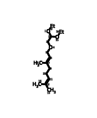 CCOC(COC/C=C(\C)CCC=C(C)C)OCC